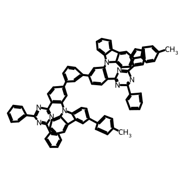 Cc1ccc(-c2ccc3c(c2)c2ccccc2n3-c2cc(-c3cccc(-c4ccc(-c5nc(-c6ccccc6)nc(-c6ccccc6)n5)c(-n5c6ccccc6c6cc(-c7ccc(C)cc7)ccc65)c4)c3)ccc2-c2nc(-c3ccccc3)nc(-c3ccccc3)n2)cc1